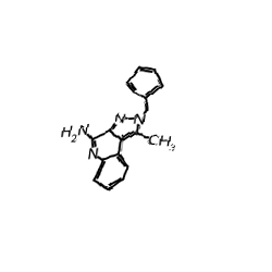 Cc1c2c(nn1Cc1ccccc1)c(N)nc1ccccc12